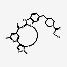 Cc1cc2cc(n1)-c1cnn(C)c1OCCCCCN1/C(=N/C2=O)Nc2ccc(CN3CCN(C(=O)OC(C)(C)C)CC3)cc21